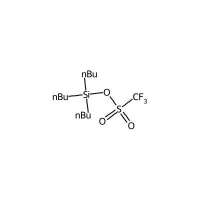 CCCC[Si](CCCC)(CCCC)OS(=O)(=O)C(F)(F)F